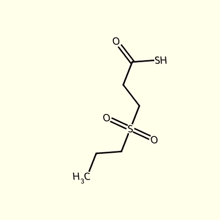 CCCS(=O)(=O)CCC(=O)S